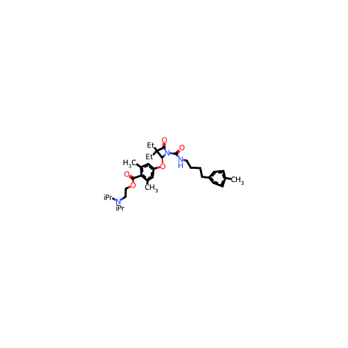 CCC1(CC)C(=O)N(C(=O)NCCCCc2ccc(C)cc2)[C@H]1Oc1cc(C)c(C(=O)OCCN(C(C)C)C(C)C)c(C)c1